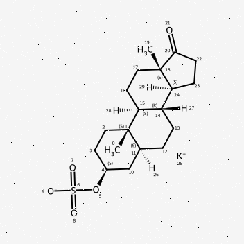 C[C@]12CC[C@H](OS(=O)(=O)[O-])C[C@@H]1CC[C@@H]1[C@@H]2CC[C@]2(C)C(=O)CC[C@@H]12.[K+]